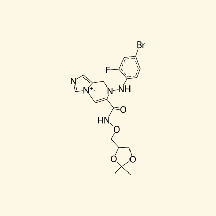 CC1(C)OCC(CONC(=O)C2=C[N+]3C=NC=C3CN2Nc2ccc(Br)cc2F)O1